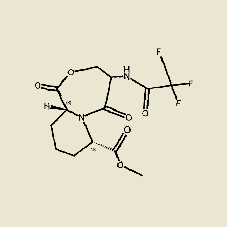 COC(=O)[C@@H]1CCC[C@@H]2C(=O)OCC(NC(=O)C(F)(F)F)C(=O)N21